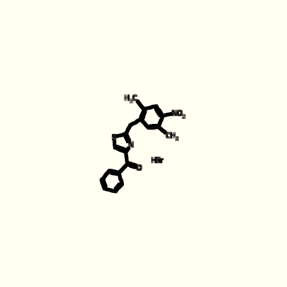 Br.Cc1cc([N+](=O)[O-])c(C)cc1Cc1nc(C(=O)c2ccccc2)cs1